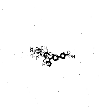 CC(C)[Si](OC1CCN([C@@H](c2ccc(-c3ccc(C(=O)O)cc3)cc2Cl)C2CCNC2=O)CC1)(C(C)C)C(C)C